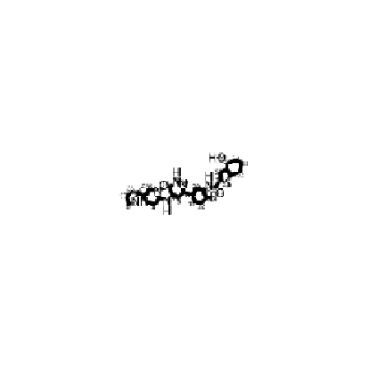 C[C@@]1(c2ccc(Nc3cc(-c4ccc(F)c(NC(=O)c5cc6c(s5)CCCC6O)c4)n[nH]c3=O)nc2)CCCN1